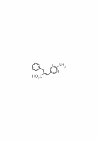 Nc1ncc(C=C(Cc2ccccc2)C(=O)O)cn1